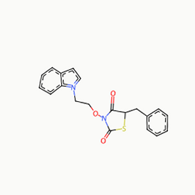 O=C1SC(Cc2ccccc2)C(=O)N1OCCn1ccc2ccccc21